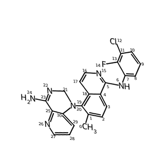 Cc1ccc2c(Nc3cccc(Cl)c3F)nccc2c1N1CN=C(N)c2ncccc21